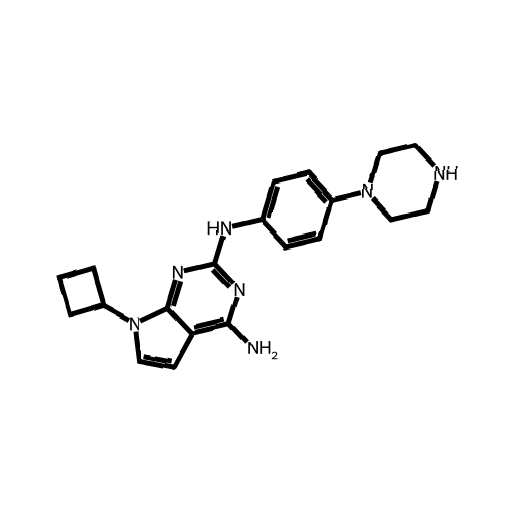 Nc1nc(Nc2ccc(N3CCNCC3)cc2)nc2c1ccn2C1CCC1